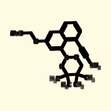 COCOc1cc(B2OCC(C)(C)C(C)(C)O2)c2c(C#C[SiH3])cccc2c1